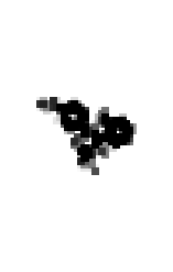 Cc1ccc(S(=O)(=O)C(NC(N)=O)c2ccccc2Br)cc1